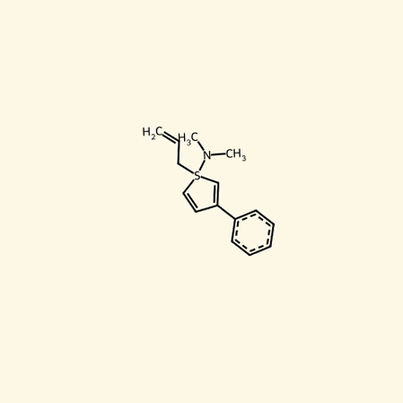 C=CCS1(N(C)C)C=CC(c2ccccc2)=C1